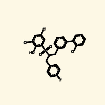 O=S(=O)(c1cc(Cl)cc(Cl)c1O)N(Cc1ccc(F)cc1)Cc1cccc(-c2ccccc2Cl)c1